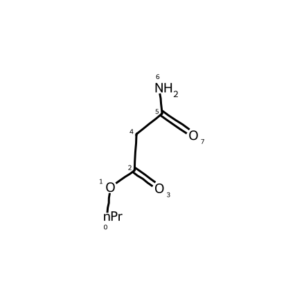 CCCOC(=O)CC(N)=O